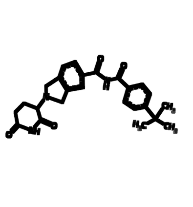 CC(C)(C)c1ccc(C(=O)NC(=O)c2ccc3c(c2)CN(C2CCC(=O)NC2=O)C3)cc1